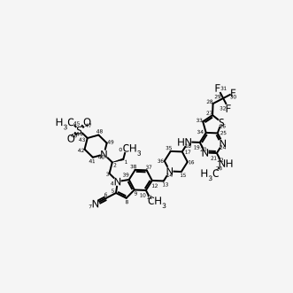 CC[C@@H](Cn1c(C#N)cc2c(C)c(CN3CCC(Nc4nc(NC)nc5sc(CC(F)(F)F)cc45)CC3)ccc21)N1CCC(S(C)(=O)=O)CC1